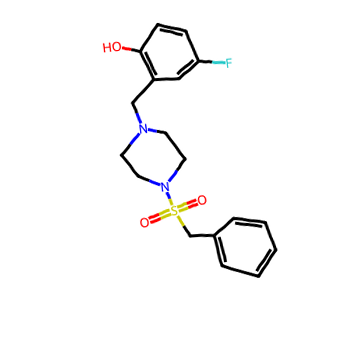 O=S(=O)(Cc1ccccc1)N1CCN(Cc2cc(F)ccc2O)CC1